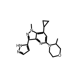 CC1COCCN1c1cc(C2CC2)c2c(n1)c(-c1ccn[nH]1)nn2C